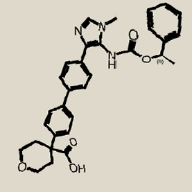 C[C@@H](OC(=O)Nc1c(-c2ccc(-c3ccc(C4(C(=O)O)CCOCC4)cc3)cc2)ncn1C)c1ccccc1